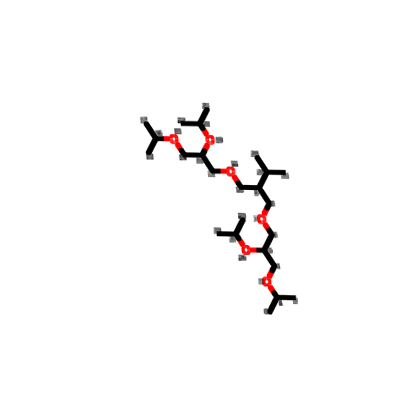 CC(C)OCC(COCC(COCC(COC(C)C)OC(C)C)C(C)C)OC(C)C